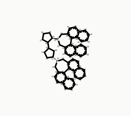 c1ccc2c3c(ccc2c1)CP([C@@H]1CCC(C2CCC[C@H]2P2Cc4ccc5ccccc5c4-c4c(ccc5ccccc45)C2)C1)Cc1ccc2ccccc2c1-3